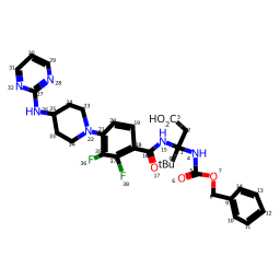 CC(C)(C)C(CC(=O)O)(NC(=O)OCc1ccccc1)NC(=O)c1ccc(N2CCC(Nc3ncccn3)CC2)c(F)c1F